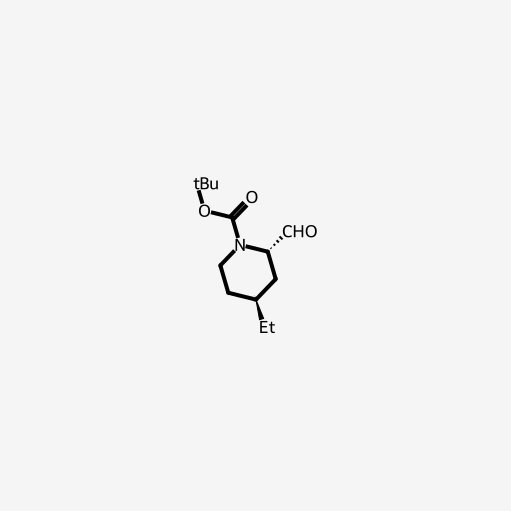 CC[C@H]1CCN(C(=O)OC(C)(C)C)[C@H](C=O)C1